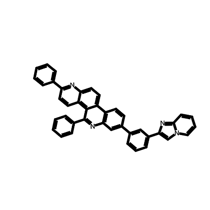 c1ccc(-c2ccc3c(ccc4c5ccc(-c6cccc(-c7cn8ccccc8n7)c6)cc5nc(-c5ccccc5)c34)n2)cc1